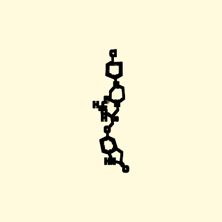 C[C@@H]1CN(c2ccc(Cl)cc2)CCN1C[C@H](O)COc1ccc2c(c1)CC(=O)N2